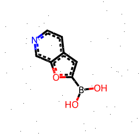 OB(O)c1cc2ccncc2o1